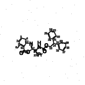 Cc1cccc2nc([C@@H](NC(=O)OCC(c3ccccc3)c3ccccc3)C(C)C)oc(=O)c12